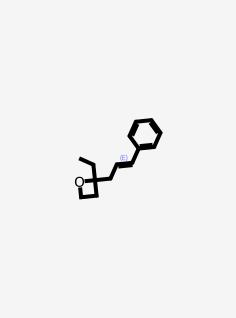 CCC1(C/C=C/c2ccccc2)CCO1